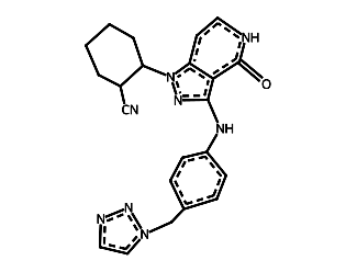 N#CC1CCCCC1n1nc(Nc2ccc(Cn3ccnn3)cc2)c2c(=O)[nH]ccc21